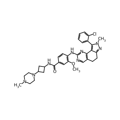 COc1cc(C(=O)NC2CC(N3CCN(C)CC3)C2)ccc1Nc1ncc2c(n1)-c1c(nn(C)c1-c1ccccc1Cl)CC2